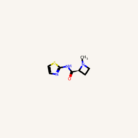 CN1CC[C@H]1C(=O)Nc1nccs1